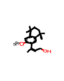 CCCOc1cc2c(cc1/C(C)=C\CO)C(C)(C)CCC2(C)C